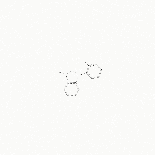 Cc1ccccc1N1NC(N)c2ccccc21